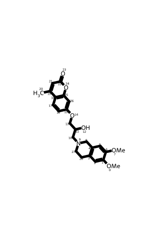 COc1cc2c(cc1OC)CN(CC(O)COc1ccc3c(C)cc(=O)oc3c1)CC2